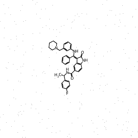 C[C@@H](NC(=O)c1ccc2c(c1)/C(=C(/Nc1cccc(CN3CCCCC3)c1)c1ccccc1)C(=O)N2)c1ccc(F)cc1